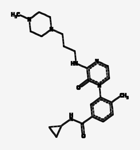 Cc1ccc(C(=O)NC2CC2)cc1-n1ccnc(NCCCN2CCN(C)CC2)c1=O